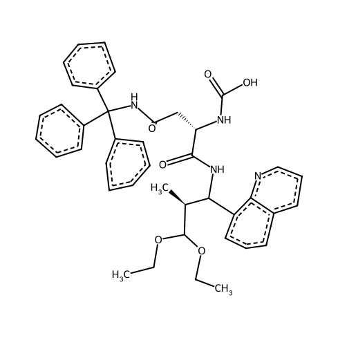 CCOC(OCC)[C@@H](C)C(NC(=O)[C@H](CC(=O)NC(c1ccccc1)(c1ccccc1)c1ccccc1)NC(=O)O)c1cccc2cccnc12